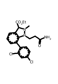 CCOC(=O)C1c2cccc(-c3ccc(Cl)cc3Cl)c2N(CCC(N)=O)N1C